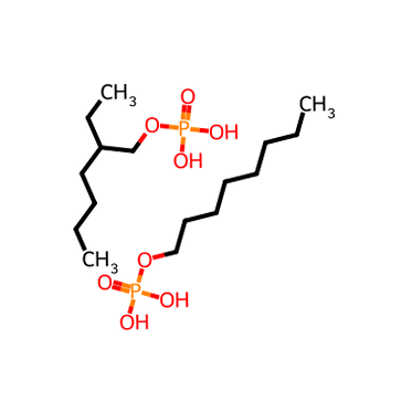 CCCCC(CC)COP(=O)(O)O.CCCCCCCCOP(=O)(O)O